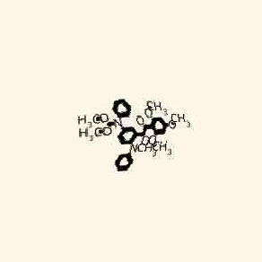 COc1cc(OC)c(C(=O)C(=O)c2cc(N(c3ccccc3)C(OC)OC)ccc2N(C)c2ccccc2)c(OC)c1